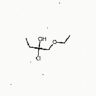 CCOCC(O)(Cl)CC